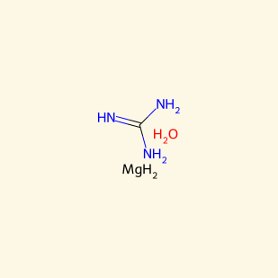 N=C(N)N.O.[MgH2]